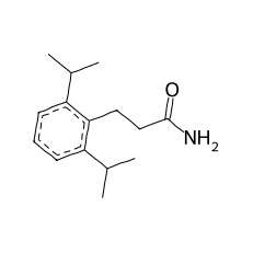 CC(C)c1cccc(C(C)C)c1CCC(N)=O